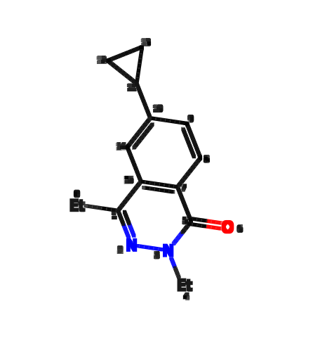 CCc1nn(CC)c(=O)c2ccc(C3CC3)cc12